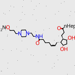 CCCCCCCC(=O)CC[C@@H]1[C@@H](C/C=C\CCCC(=O)NCCN2CCN(CCCO[N+](=O)[O-])CC2)[C@@H](O)C[C@H]1O